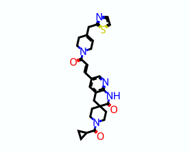 O=C(C=Cc1cnc2c(c1)CC1(CCN(C(=O)C3CC3)CC1)C(=O)N2)N1CC=C(Cc2nccs2)CC1